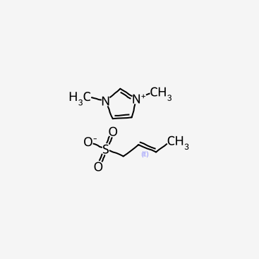 C/C=C/CS(=O)(=O)[O-].Cn1cc[n+](C)c1